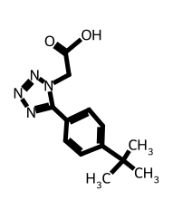 CC(C)(C)c1ccc(-c2nnnn2CC(=O)O)cc1